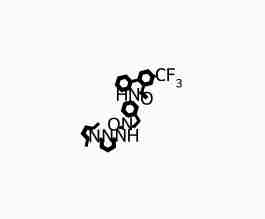 Cc1ccc(C)n1-c1cccc(NC(=O)N2CCc3cc(NC(=O)c4cc(C(F)(F)F)ccc4-c4ccccc4)ccc32)n1